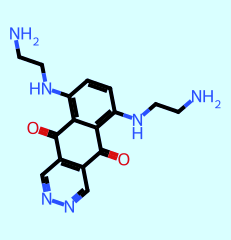 NCCNc1ccc(NCCN)c2c1C(=O)c1cnncc1C2=O